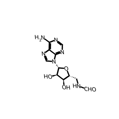 Nc1ncnc2c1ncn2[C@@H]1O[C@H](CNC=O)[C@@H](O)[C@H]1O